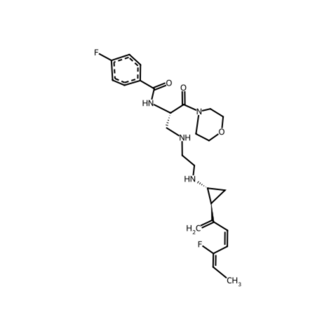 C=C(/C=C\C(F)=C/C)[C@@H]1C[C@H]1NCCNC[C@H](NC(=O)c1ccc(F)cc1)C(=O)N1CCOCC1